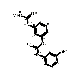 CCCc1cccc(NC(=O)Oc2cccc(NC(=O)OC)c2)c1